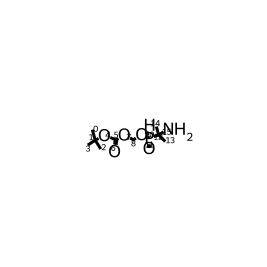 CC(C)(C)OC(=O)OCO[PH](=O)C(C)(C)N